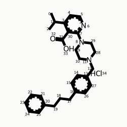 CC(C)c1ccnc(N2CCN(Cc3ccc(CCCc4ccccc4)cc3)CC2)c1C(=O)O.Cl